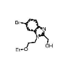 CCOCCn1c(CO)nc2ccc(Br)cc21